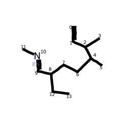 C=CC(C)C(C)CCC(/C=N/C)CC